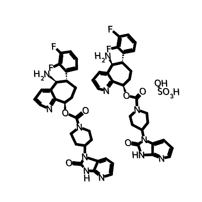 N[C@@H]1c2cccnc2[C@H](OC(=O)N2CCC(n3c(=O)[nH]c4ncccc43)CC2)CC[C@H]1c1cccc(F)c1F.N[C@@H]1c2cccnc2[C@H](OC(=O)N2CCC(n3c(=O)[nH]c4ncccc43)CC2)CC[C@H]1c1cccc(F)c1F.O=S(=O)(O)O